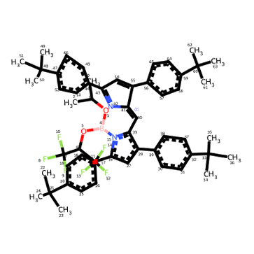 CC(C)OB(OC(C(F)(F)F)C(F)(F)F)n1c(-c2ccc(C(C)(C)C)cc2)cc(-c2ccc(C(C)(C)C)cc2)c1/C=C1\N=C(c2ccc(C(C)(C)C)cc2)C=C1c1ccc(C(C)(C)C)cc1